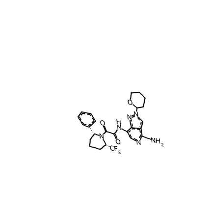 Nc1ncc(NC(=O)C(=O)N2[C@@H](c3ccccc3)CCC[C@H]2C(F)(F)F)c2nn(C3CCCCO3)cc12